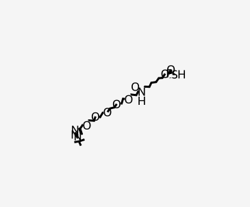 CC(C)(C)n1cc(COCCOCCOCCOCCOCCC(=O)NCCCCCCOP(C)(=O)S)nn1